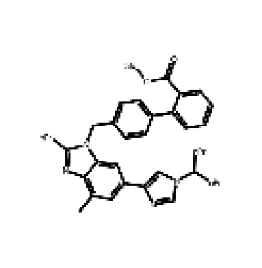 CCCc1nc2c(C)cc(-c3cn(C(CCC)CCC)cn3)cc2n1Cc1ccc(-c2ccccc2C(=O)OC(C)(C)C)cc1